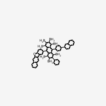 Bc1c(B)c(B)c2c(-c3ccc(-c4ccc5ccccc5c4)cc3)c3c(B)c(-c4ccccc4)c(B)c(B)c3c(-c3ccc4oc5cc6ccccc6cc5c4c3)c2c1B